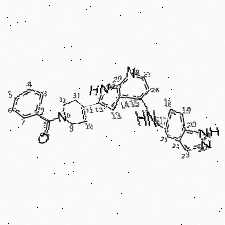 O=C(c1ccccc1)N1CC=C(c2cc3c(Nc4ccc5[nH]ncc5c4)ccnc3[nH]2)CC1